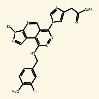 CCn1ncc2c3c(NCc4ccc(OC)c(Cl)c4)nnc(-n4cnc(CC(=O)NC)c4)c3cnc21